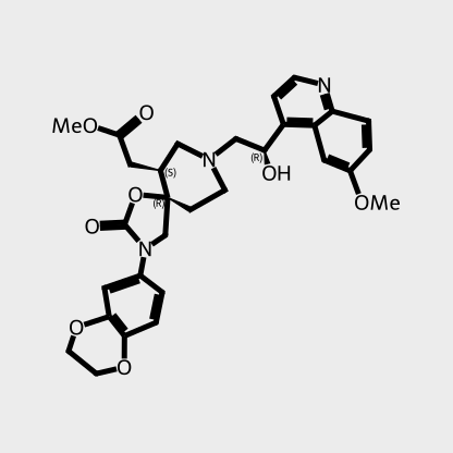 COC(=O)C[C@H]1CN(C[C@H](O)c2ccnc3ccc(OC)cc23)CC[C@]12CN(c1ccc3c(c1)OCCO3)C(=O)O2